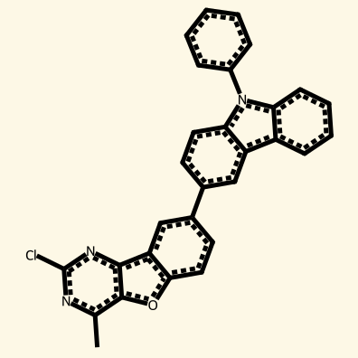 Cc1nc(Cl)nc2c1oc1ccc(-c3ccc4c(c3)c3ccccc3n4-c3ccccc3)cc12